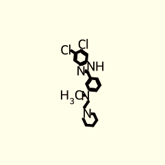 CN(CCN1CCCCC1)c1cccc(-c2nc3cc(Cl)c(Cl)cc3[nH]2)c1